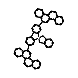 c1ccc2c(c1)C[Si]1(C2)c2cc(-c3cc4c5ccccc5ccc4c4ccccc34)ccc2-c2ccc(-c3cc4c5ccccc5ccc4c4ccccc34)cc21